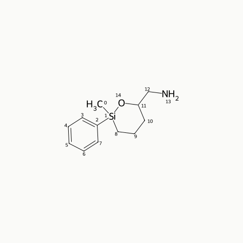 C[Si]1(c2ccccc2)CCCC(CN)O1